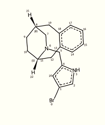 Brc1c[nH]c(CN2C[C@@H]3CC[C@H]2Cc2ccccc2C3)c1